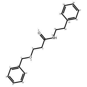 O=C(CCOCc1ccccc1)NCCc1ccccc1